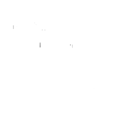 C[C@@]1(C2CCN(Cc3ccc(C(F)(F)F)cc3)CC2)CC(Br)=NO1